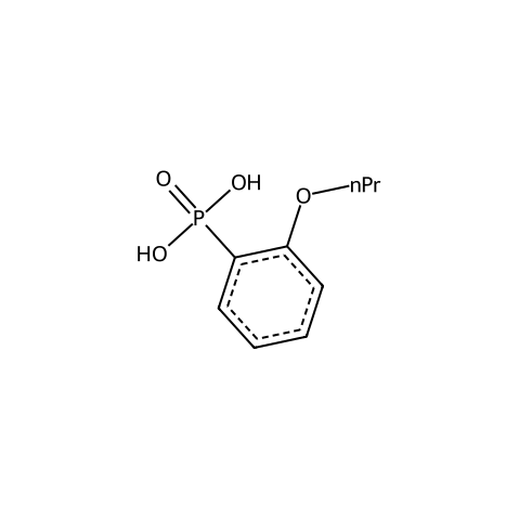 CCCOc1ccccc1P(=O)(O)O